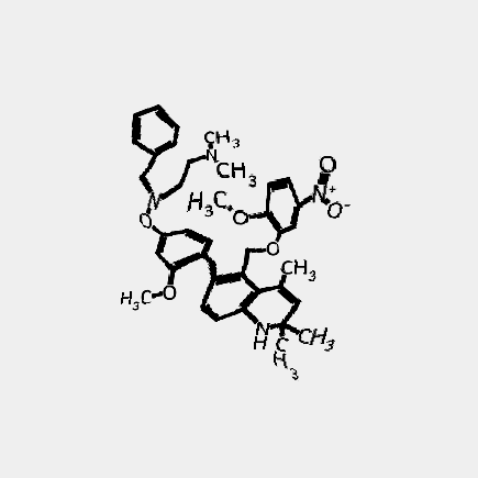 COc1ccc([N+](=O)[O-])cc1OCc1c(-c2ccc(ON(CCN(C)C)Cc3ccccc3)cc2OC)ccc2c1C(C)=CC(C)(C)N2